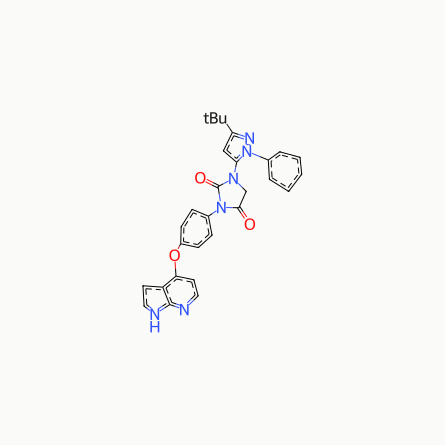 CC(C)(C)c1cc(N2CC(=O)N(c3ccc(Oc4ccnc5[nH]ccc45)cc3)C2=O)n(-c2ccccc2)n1